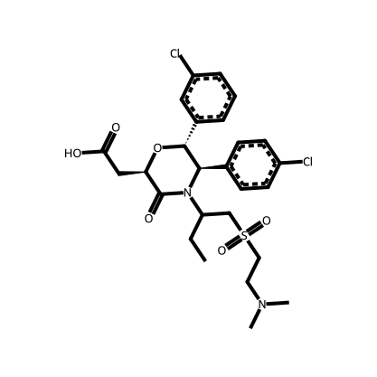 CCC(CS(=O)(=O)CCN(C)C)N1C(=O)[C@@H](CC(=O)O)O[C@H](c2cccc(Cl)c2)[C@H]1c1ccc(Cl)cc1